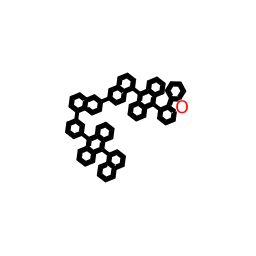 c1cc(-c2cccc3cc(-c4ccc5c(-c6c7ccccc7c(-c7cccc8oc9ccccc9c78)c7ccccc67)cccc5c4)ccc23)cc(-c2c3ccccc3c(-c3cccc4ccccc34)c3ccccc23)c1